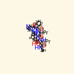 CCC[C@H](NC(=O)[C@@H]1[C@H]2CCC[C@H]2CN1C(=O)[C@@H](NC(=O)[C@@H](NC(=O)c1cnccn1)C1CCCCC1)C(C)C)C(O)C(=O)NC1CC1